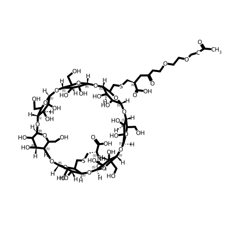 CN[C@H](CSCC1O[C@H]2O[C@@H]3C(CO)O[C@H](O[C@@H]4C(CO)O[C@@H](O[C@@H]5C(CO)O[C@H](O[C@@H]6C(CSC[C@@H](CC(=O)CCOCCOCCC(C)=O)C(=O)O)O[C@H](O[C@@H]7C(CO)O[C@@H](O[C@@H]8C(CO)O[C@@H](O[C@H]1[C@H](O)C2O)C(O)[C@@H]8O)C(O)[C@H]7O)C(O)[C@H]6O)C(O)[C@H]5O)C(O)[C@H]4O)C(O)[C@H]3O)C(=O)O